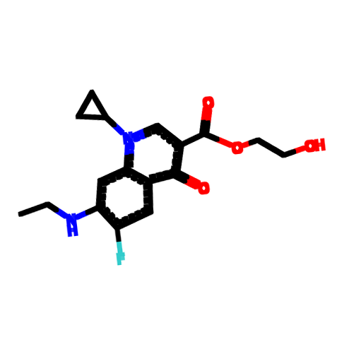 CCNc1cc2c(cc1F)c(=O)c(C(=O)OCCO)cn2C1CC1